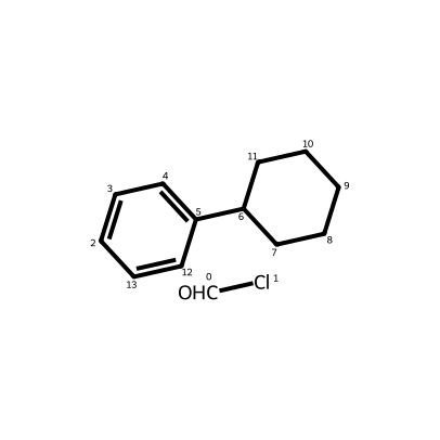 O=CCl.c1ccc(C2CCCCC2)cc1